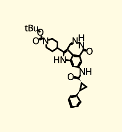 CC(C)(C)OC(=O)N1CCC(c2[nH]c3cc(NC(=O)[C@@H]4C[C@H]4c4ccccc4)cc4c3c2C=NNC4=O)CC1